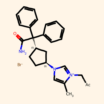 CC(=O)C[n+]1cn([C@H]2CC[C@H](C(C(N)=O)(c3ccccc3)c3ccccc3)C2)cc1C.[Br-]